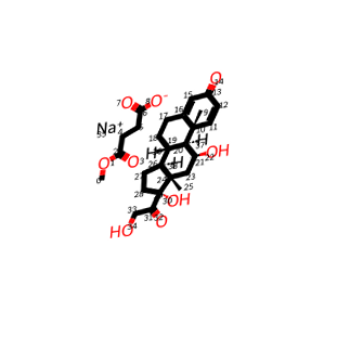 COC(=O)CCC(=O)[O-].C[C@]12C=CC(=O)C=C1CC[C@@H]1[C@@H]2[C@@H](O)C[C@@]2(C)[C@H]1CC[C@]2(O)C(=O)CO.[Na+]